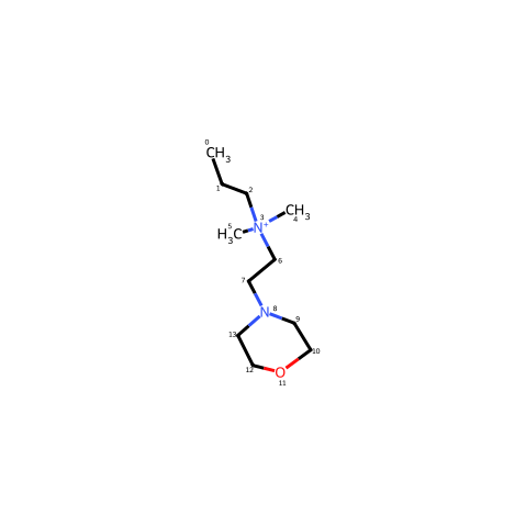 CCC[N+](C)(C)CCN1CCOCC1